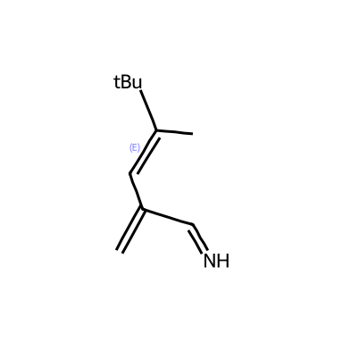 C=C(C=N)/C=C(\C)C(C)(C)C